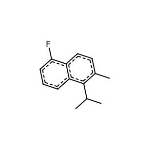 Cc1ccc2c(F)cccc2c1C(C)C